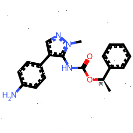 C[C@@H](OC(=O)Nc1c(-c2ccc(N)cc2)cnn1C)c1ccccc1